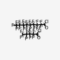 O=C(Cl)C(F)(F)C(F)(F)C(F)(F)C(F)(F)C(F)(F)C(F)(F)C(F)(F)C(F)(F)F.O=C(Cl)C(F)(F)C(F)(F)C(F)(F)C(F)F